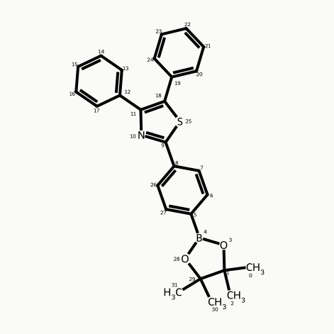 CC1(C)OB(c2ccc(-c3nc(-c4ccccc4)c(-c4ccccc4)s3)cc2)OC1(C)C